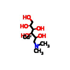 CN(C)C[C@H](O)[C@@H](O)[C@H](O)[C@H](O)CO.[Gd-]